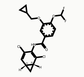 O=C(NC1=C(Cl)[C@@H]2C[C@@H]2C=C1Cl)c1ccc(OC(F)F)c(OCC2CC2)c1